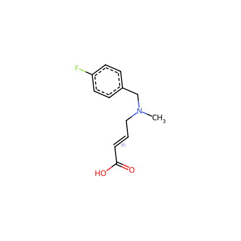 CN(C/C=C/C(=O)O)Cc1ccc(F)cc1